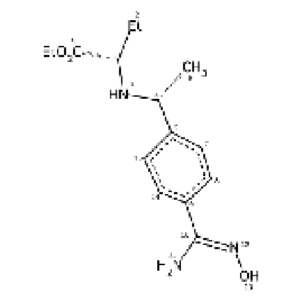 CCOC(=O)[C@H](CC)N[C@H](C)c1ccc(/C(N)=N/O)cc1